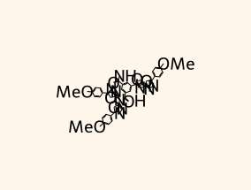 COc1ccc(-c2nnc(NC(=O)c3cc(C(N)=O)cc(C(=O)N(c4nnc(-c5ccc(OC)cc5)o4)c4nnc(-c5ccc(OC)cc5)o4)c3)o2)cc1